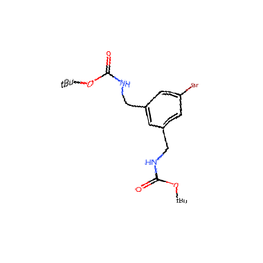 CC(C)(C)OC(=O)NCc1cc(Br)cc(CNC(=O)OC(C)(C)C)c1